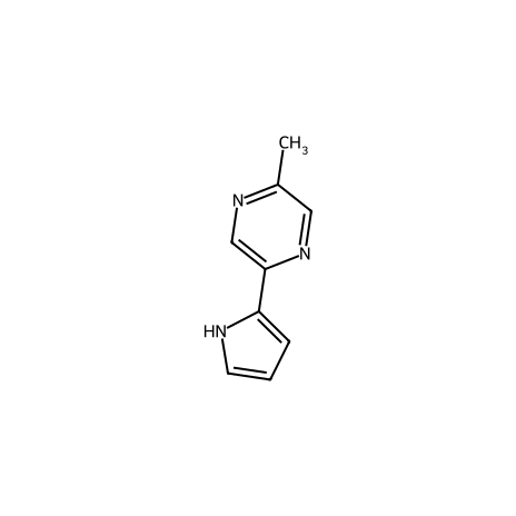 Cc1cnc(-c2ccc[nH]2)cn1